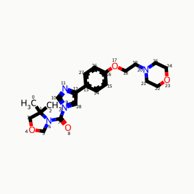 CC1(C)COCN1C(=O)n1cnc(-c2ccc(OCCN3CCOCC3)cc2)c1